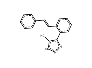 N#Cc1[nH]nnc1-c1ccccc1C=Cc1ccccc1